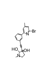 Cc1cc(Br)nc(-c2cccc(C#C[C@]3(O)CCN(C)C3O)c2)c1